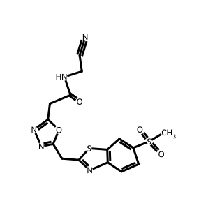 CS(=O)(=O)c1ccc2nc(Cc3nnc(CC(=O)NCC#N)o3)sc2c1